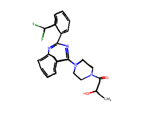 CC(O)C(=O)N1CCN(c2nc(-c3ccccc3C(F)F)nc3ccccc23)CC1